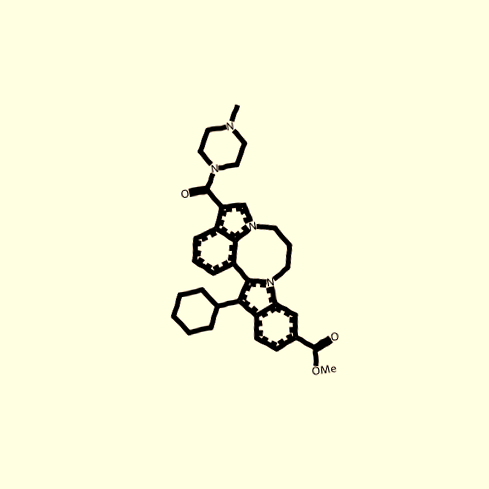 COC(=O)c1ccc2c(C3CCCCC3)c3n(c2c1)CCCn1cc(C(=O)N2CCN(C)CC2)c2cccc-3c21